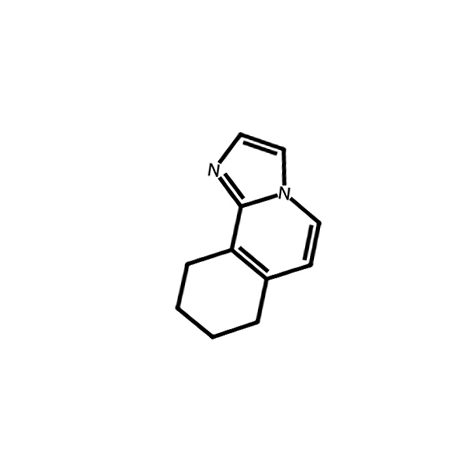 c1cn2ccc3c(c2n1)CCCC3